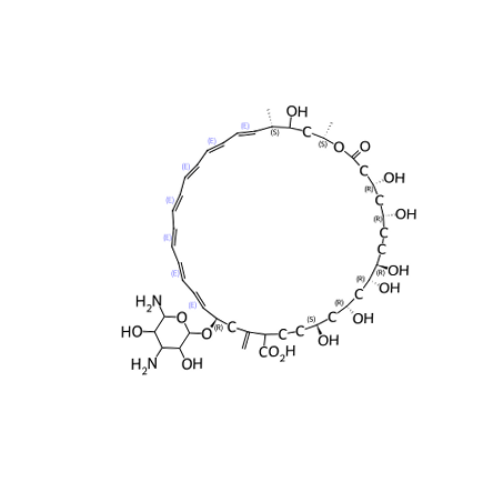 C=C1C[C@@H](OC2OC(N)C(O)C(N)C2O)/C=C/C=C/C=C/C=C/C=C/C=C/C=C/[C@H](C)C(O)C[C@H](C)OC(=O)C[C@H](O)C[C@H](O)CC[C@@H](O)[C@H](O)C[C@H](O)C[C@@H](O)CCC1C(=O)O